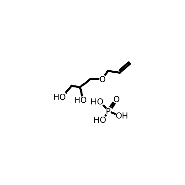 C=CCOCC(O)CO.O=P(O)(O)O